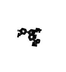 CCC(=O)c1ccc2c(-c3ccc(C)c(F)c3)cn(C(C)C)c2n1